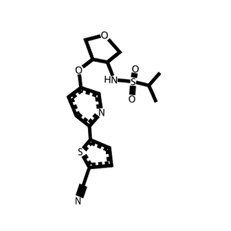 CC(C)S(=O)(=O)NC1COCC1Oc1ccc(-c2ccc(C#N)s2)nc1